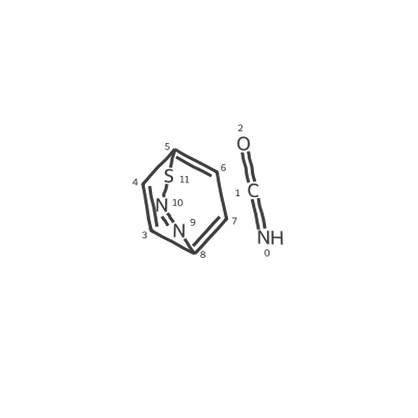 N=C=O.c1cc2ccc1N=NS2